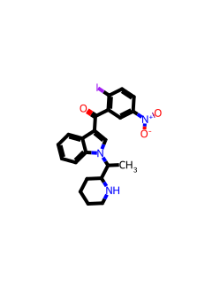 CC(C1CCCCN1)n1cc(C(=O)c2cc([N+](=O)[O-])ccc2I)c2ccccc21